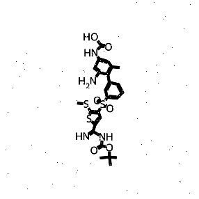 CSc1sc(C(=N)NC(=O)OC(C)(C)C)cc1S(=O)(=O)c1cccc(-c2c(C)cc(NC(=O)O)cc2N)c1